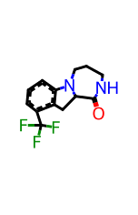 O=C1NCCCN2c3cccc(C(F)(F)F)c3CC12